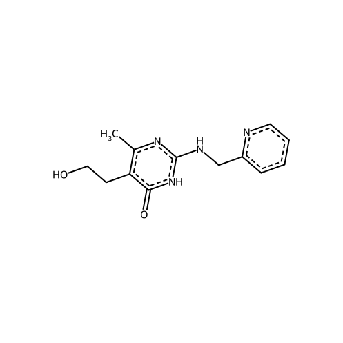 Cc1nc(NCc2ccccn2)[nH]c(=O)c1CCO